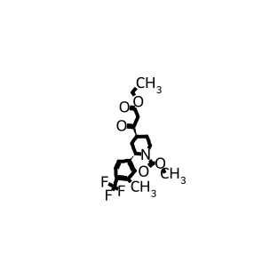 CCOC(=O)CC(=O)[C@H]1CCN(C(=O)OC)[C@H](c2ccc(C(F)(F)F)c(C)c2)C1